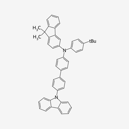 CC(C)(C)c1ccc(N(c2ccc(-c3ccc(-n4c5ccccc5c5ccccc54)cc3)cc2)c2ccc3c(c2)-c2ccccc2C3(C)C)cc1